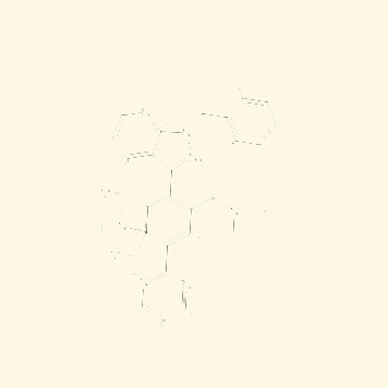 COC1C(c2nn(Cc3ccccc3F)c3ncccc23)=C(CN(C)C(=O)O)C=C(c2ncccn2)C1(N)OC